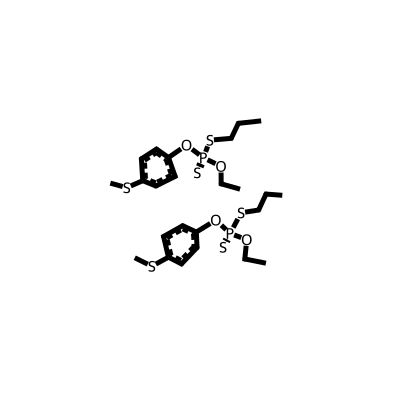 CCCSP(=S)(OCC)Oc1ccc(SC)cc1.CCCSP(=S)(OCC)Oc1ccc(SC)cc1